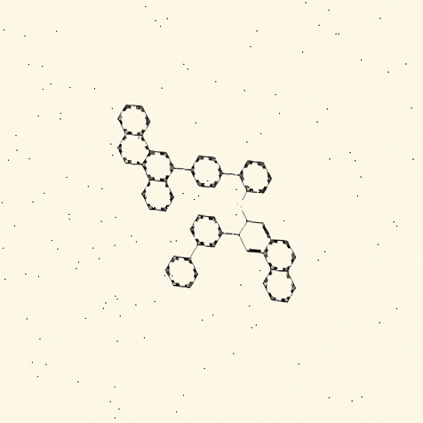 C1=c2ccc3ccccc3c2=CC(c2cccc(-c3ccccc3)c2)C1Nc1ccccc1-c1ccc(-c2cc3c4ccccc4ccc3c3ccccc23)cc1